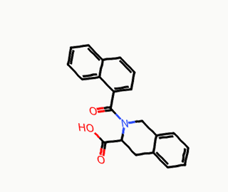 O=C(O)C1Cc2ccccc2CN1C(=O)c1cccc2ccccc12